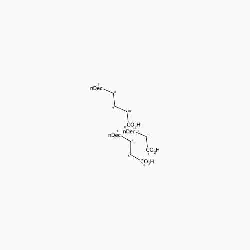 CCCCCCCCCCCC(=O)O.CCCCCCCCCCCCC(=O)O.CCCCCCCCCCCCCC(=O)O